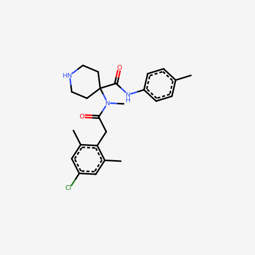 Cc1ccc(NC(=O)C2(N(C)C(=O)Cc3c(C)cc(Cl)cc3C)CCNCC2)cc1